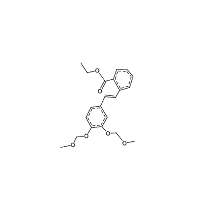 CCOC(=O)c1ccccc1C=Cc1ccc(OCOC)c(OCOC)c1